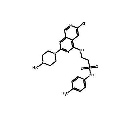 CN1CCN(c2nc(NCCS(=O)(=O)Nc3ccc(C(F)(F)F)cc3)c3cc(Cl)ncc3n2)CC1